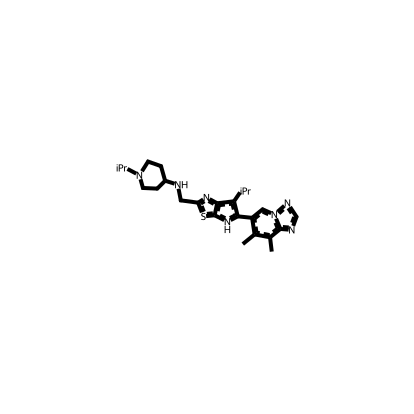 Cc1c(-c2[nH]c3sc(CNC4CCN(C(C)C)CC4)nc3c2C(C)C)cn2ncnc2c1C